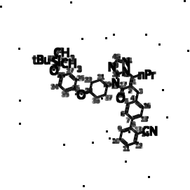 CCCc1c(Cc2ccc(-c3ccccc3C#N)cc2)c(=O)n([C@H]2CC[C@H](Oc3ccc(O[Si](C)(C)C(C)(C)C)cc3)CC2)c2ncnn12